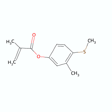 C=C(C)C(=O)Oc1ccc(SC)c(C)c1